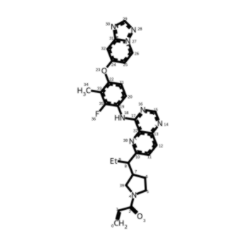 C=CC(=O)N1CCC(C(CC)c2ccc3ncnc(Nc4ccc(Oc5ccn6ncnc6c5)c(C)c4F)c3n2)C1